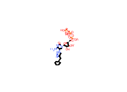 Nc1nc(=O)n([C@@H]2O[C@H](COP(=O)(O)OP(=O)(O)OP(=O)(O)O)C(O)[C@@H]2O)cc1-n1cc(Cc2ccccc2)nn1